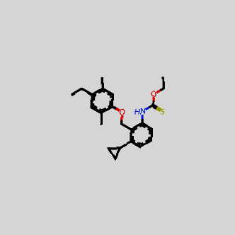 CCOC(=S)Nc1cccc(C2CC2)c1COc1cc(C)c(CC)cc1C